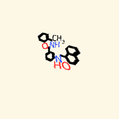 CC(NC(=O)c1cccc(N=Cc2c(O)ccc3ccccc23)c1)c1ccccc1